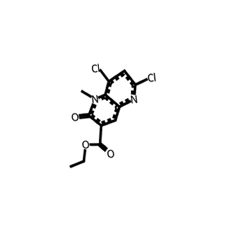 CCOC(=O)c1cc2nc(Cl)cc(Cl)c2n(C)c1=O